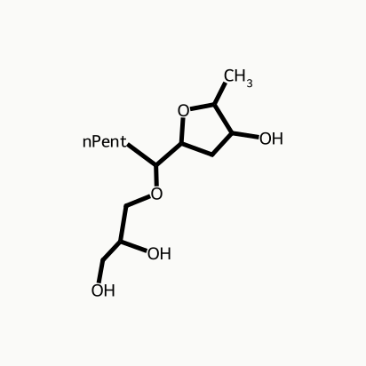 CCCCCC(OCC(O)CO)C1CC(O)C(C)O1